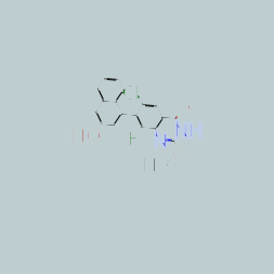 COc1nc2c(F)c(-c3cc(O)cc4ccccc34)c(Cl)cc2c(=O)[nH]1